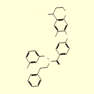 O=C(O)C1CCOc2cc(Oc3ccc(C(=O)N(CCc4ccccc4)Oc4cccc(Cl)c4)cc3)c(Cl)cc21